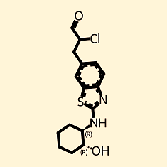 O=CC(Cl)Cc1ccc2nc(N[C@@H]3CCCC[C@H]3O)sc2c1